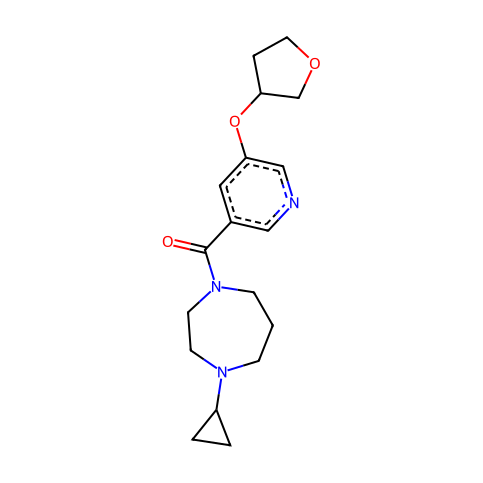 O=C(c1cncc(OC2CCOC2)c1)N1CCCN(C2CC2)CC1